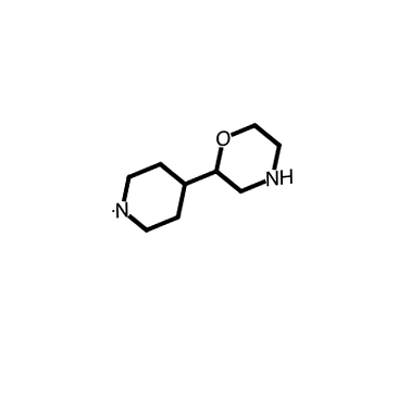 C1CC(C2CNCCO2)CC[N]1